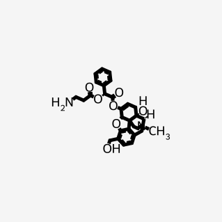 CN1CCC23c4c5ccc(CO)c4OC2C(OC(=O)[C@@H](OC(=O)CCN)c2ccccc2)=CC[C@@]3(O)[C@H]1C5